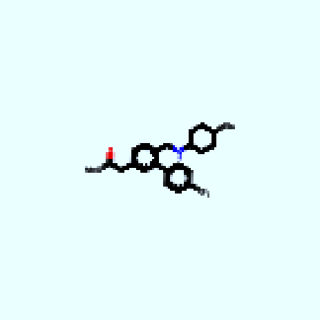 COC(=O)Cc1ccc(CNC2CCC(C(C)(C)C)CC2)c(-c2ccc(C(F)(F)F)cc2)c1